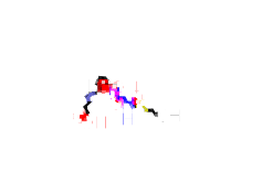 CCCCSCC(=O)NCC(=O)N(O)C[C@@H]1[C@H](C/C=C\CCCC(=O)O)[C@@H]2CC[C@H]1O2